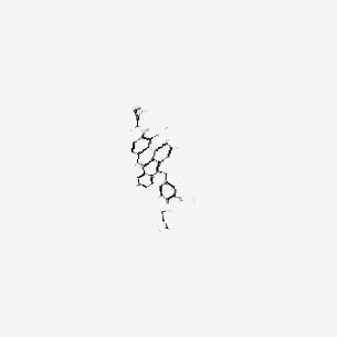 Pc1cc(Cc2c3ccccc3c(Cc3ccc(OCC4CO4)c(P)c3)c3ccccc23)ccc1OCC1CO1